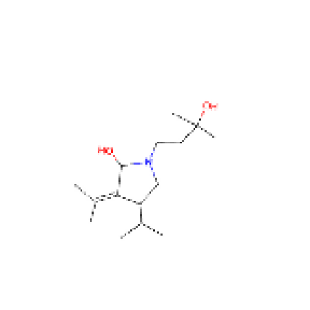 CC(C)=C1C(C(C)C)CN(CCC(C)(C)O)C1O